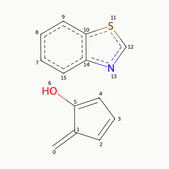 C=C1C=CC=C1O.c1ccc2scnc2c1